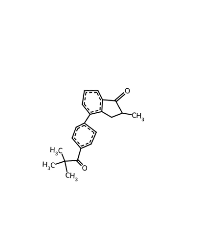 CC1Cc2c(cccc2-c2ccc(C(=O)C(C)(C)C)cc2)C1=O